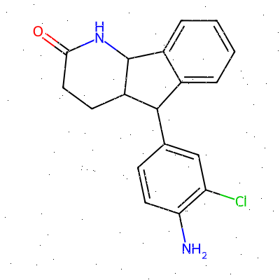 Nc1ccc(C2c3ccccc3C3NC(=O)CCC32)cc1Cl